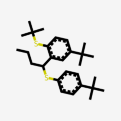 CCCC(Sc1ccc(C(C)(C)C)cc1)c1cc(C(C)(C)C)ccc1SC(C)(C)C